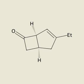 CCC1=C[C@@H]2C(=O)C[C@@H]2C1